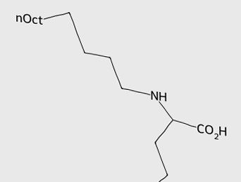 CCCCCCCCCCCCNC(CCSC)C(=O)O